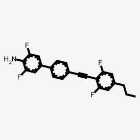 CCCc1cc(F)c(C#Cc2ccc(-c3cc(F)c(N)c(F)c3)cc2)c(F)c1